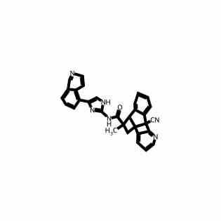 CC1(C(=O)Nc2nc(-c3cccc4cnccc34)c[nH]2)CC23c4cccnc4C2(C#N)c2ccccc2C13